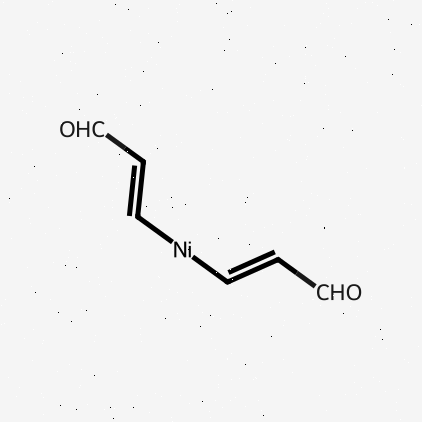 O=CC=[CH][Ni][CH]=CC=O